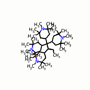 CCC(C1CC(C)(C)N(C)C(C)(C)C1)C(C1CC(C)(C)N(C)C(C)(C)C1)(C1CC(C)(C)N(C)C(C)(C)C1)C1CC(C)(C)N(C)C(C)(C)C1